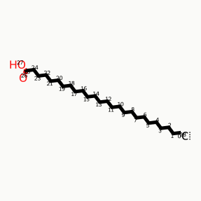 CCCCCCCCCCCCCCCCCCCCCCCCCC(=O)O.[C]